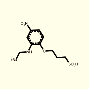 CC(C)(C)CNc1cc([N+](=O)[O-])ccc1OCCCS(=O)(=O)O